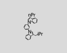 CCCc1cn(-c2cccc(-n3cc(CC(C)C)c4ccccc43)c2)c2ccccc12